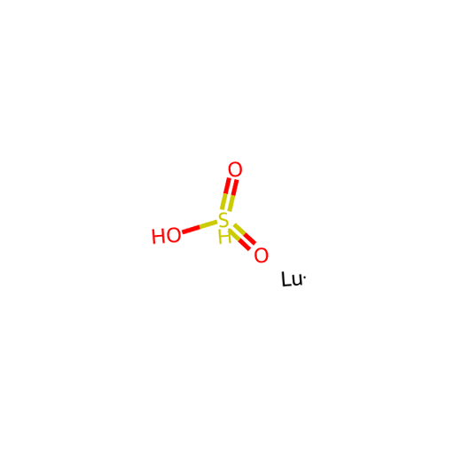 O=[SH](=O)O.[Lu]